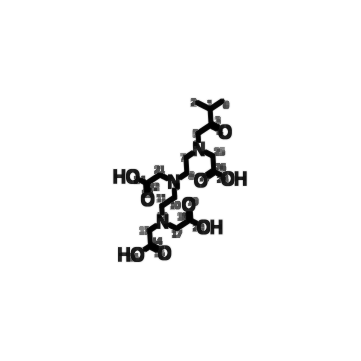 CC(C)C(=O)CN(CCN(CCN(CC(=O)O)CC(=O)O)CC(=O)O)CC(=O)O